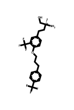 C[C@@](N)(CO)CCc1ccc(OCCCc2ccc(C(F)(F)F)cc2)c(C(F)(F)F)c1